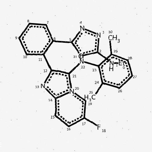 CCNc1nnc(-c2ccccc2-c2nc3ccc(F)cn3c2Nc2c(C)cccc2C)o1